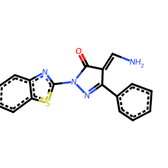 NC=C1C(=O)N(c2nc3ccccc3s2)N=C1c1ccccc1